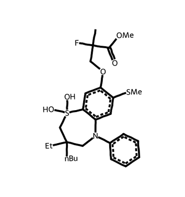 CCCCC1(CC)CN(c2ccccc2)c2cc(SC)c(OCC(C)(F)C(=O)OC)cc2S(O)(O)C1